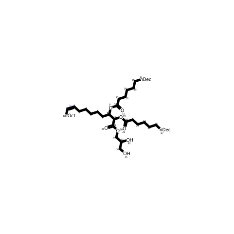 CCCCCCCC/C=C\CCCCCC(OC(=O)CCCCCCCCCCCCCCC)C(OC(=O)CCCCCCCCCCCCCCC)C(=O)OCC(O)CO